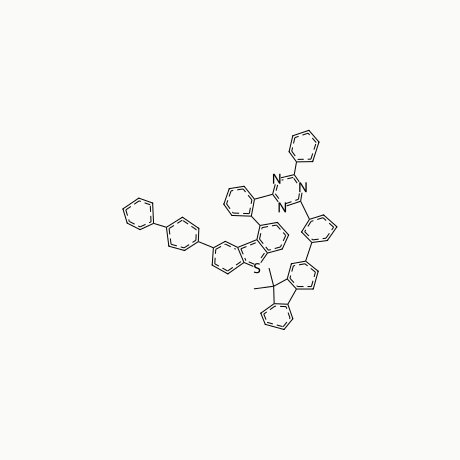 CC1(C)c2ccccc2-c2ccc(-c3cccc(-c4nc(-c5ccccc5)nc(-c5ccccc5-c5cccc6sc7ccc(-c8ccc(-c9ccccc9)cc8)cc7c56)n4)c3)cc21